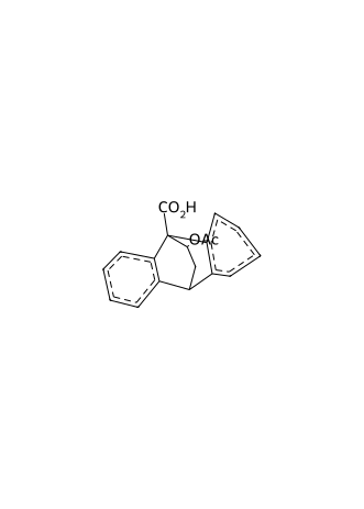 CC(=O)OC1CC2c3ccccc3C1(C(=O)O)c1ccccc12